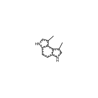 Cc1c[nH]c2ccc3[nH]cc(C)c3c12